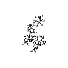 Cc1c(-c2cc3cc(NC(=O)OC4CN(C)C(=O)C4(C)C)ncc3c(NC(=O)OC(C)(C)C)c2F)cnc2c1N(C(=O)OC(C)(C)C)CCO2